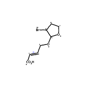 O=C(O)/C=C/COC1OCCC1Br